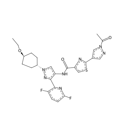 CCO[C@H]1CC[C@H](n2cc(NC(=O)c3csc(-c4cnn(C(C)=O)c4)n3)c(-c3nc(F)ccc3F)n2)CC1